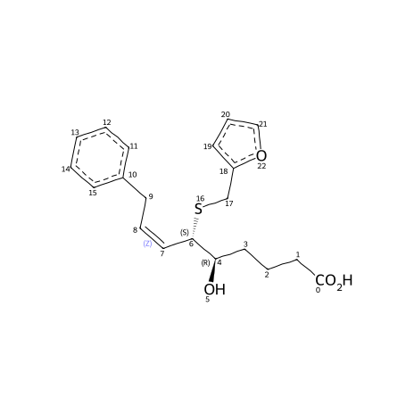 O=C(O)CCC[C@@H](O)[C@H](/C=C\Cc1ccccc1)SCc1ccco1